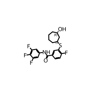 O=C(Nc1cc(F)c(F)c(F)c1)c1ccc(F)c(S[C@H]2CCCC[C@@H](O)C2)c1